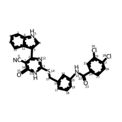 N#Cc1c(-c2c[nH]c3ccccc23)nc(SCc2cccc(NC(=O)c3ccc(Cl)c(Cl)c3)c2)[nH]c1=O